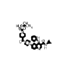 CC(C)(C)OC(=O)N1CCC(C(=O)N2CCN(c3ccc4ncc(C(=O)NC5CC5)c(Nc5ccccc5)c4c3)CC2)CC1